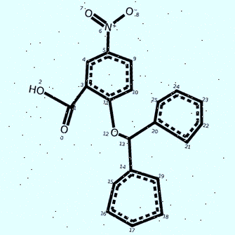 O=C(O)c1cc([N+](=O)[O-])ccc1OC(c1ccccc1)c1ccccc1